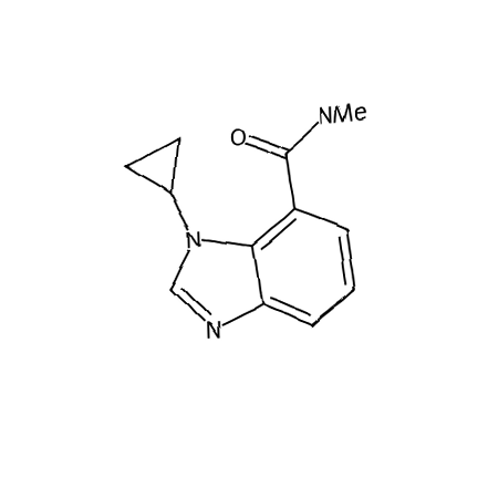 CNC(=O)c1cccc2ncn(C3CC3)c12